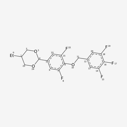 CCC1COC(c2cc(F)c(OCc3cc(F)c(F)c(F)c3)c(F)c2)OC1